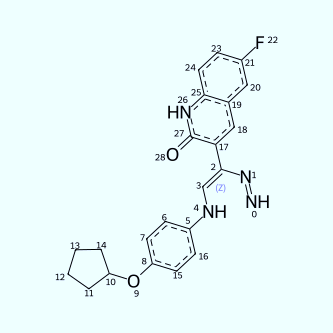 N=N/C(=C\Nc1ccc(OC2CCCC2)cc1)c1cc2cc(F)ccc2[nH]c1=O